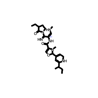 CCC(C)C1=CC(C2OC=C(C(=O)N/C(=C/NC)C(=N)N3CCC(CC)C3=O)N2C)=CCN1